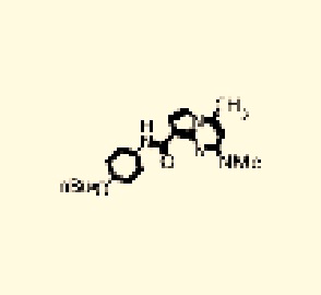 CCCCO[C@H]1CC[C@H](NC(=O)c2ccn3c(C)cc(NC)nc23)CC1